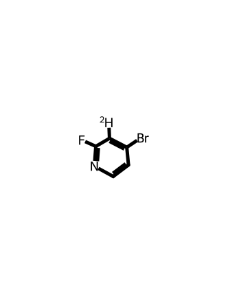 [2H]c1c(Br)ccnc1F